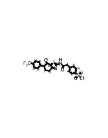 CCS(=O)(=O)c1ccc(CC(=O)Nc2nc3c(s2)C(=O)C(c2ccc(C(F)(F)F)cc2)CC3)cc1